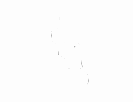 CCCO/N=C(\CCC)C1=C(O)CC(CC(C)SCC)CC1=O